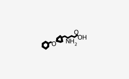 N[C@H](CCC(=O)O)Cc1ccc(OCc2ccccc2)cc1